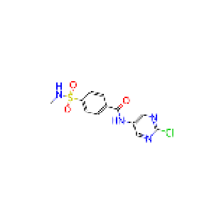 CNS(=O)(=O)c1ccc(C(=O)Nc2cnc(Cl)nc2)cc1